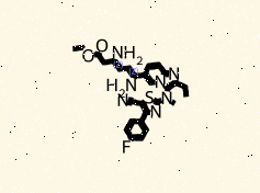 CCOC(=O)C/C(N)=C/C=C(\N)c1ccc2nc(CC)c(N(C)c3nc(-c4ccc(F)cc4)c(C#N)s3)n2c1